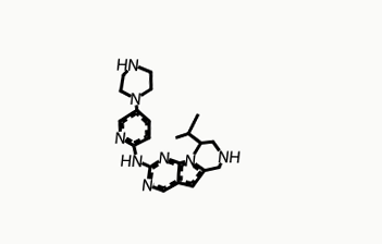 CC(C)C1CNCc2cc3cnc(Nc4ccc(N5CCNCC5)cn4)nc3n21